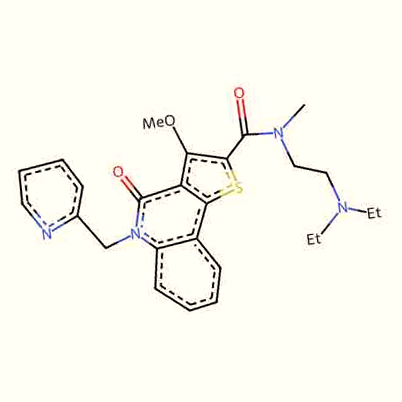 CCN(CC)CCN(C)C(=O)c1sc2c(c1OC)c(=O)n(Cc1ccccn1)c1ccccc21